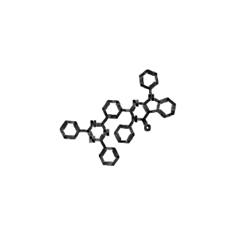 O=c1c2c3ccccc3n(-c3ccccc3)c2nc(-c2cccc(-c3nc(-c4ccccc4)nc(-c4ccccc4)n3)c2)n1-c1ccccc1